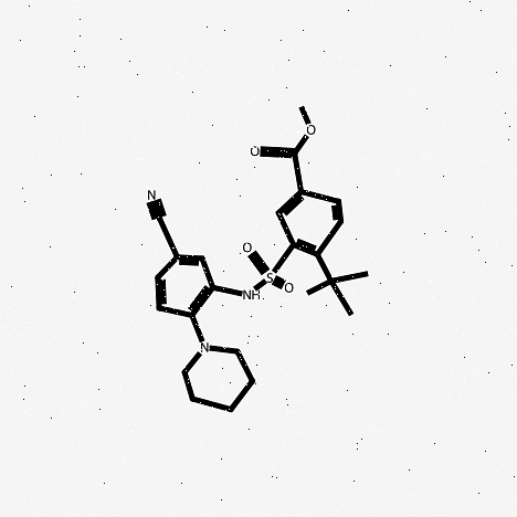 COC(=O)c1ccc(C(C)(C)C)c(S(=O)(=O)Nc2cc(C#N)ccc2N2CCCCC2)c1